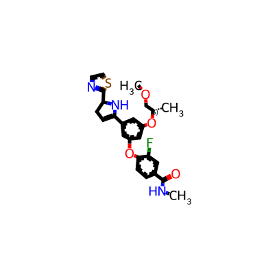 CNC(=O)c1ccc(Oc2cc(O[C@@H](C)COC)cc(C3=CCC(c4nccs4)N3)c2)c(F)c1